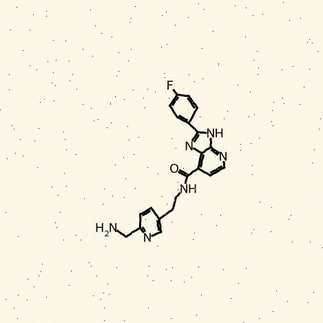 NCc1ccc(CCNC(=O)c2ccnc3[nH]c(-c4ccc(F)cc4)nc23)cn1